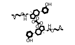 CN(C)CCONC[C@H]1CC[C@]2(OC(=O)C(=O)O[C@]34CC[C@H](CNOCCN(C)C)[C@@]3(C)CC[C@H](c3cccc(O)c3)C4)C[C@@H](c3cccc(O)c3)CC[C@]12C